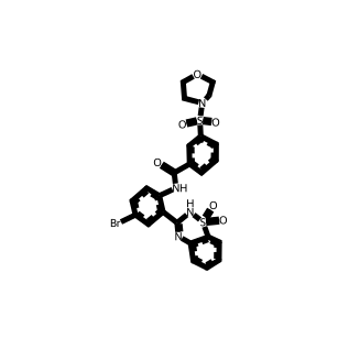 O=C(Nc1ccc(Br)cc1C1=Nc2ccccc2S(=O)(=O)N1)c1cccc(S(=O)(=O)N2CCOCC2)c1